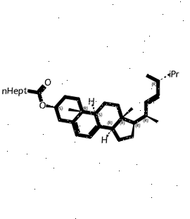 CCCCCCCC(=O)O[C@H]1CC[C@@]2(C)C(=CC=C3[C@@H]4CC[C@H]([C@H](C)C=C[C@H](C)C(C)C)[C@@]4(C)CC[C@@H]32)C1